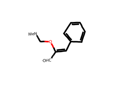 CNCOC([C]=O)=Cc1ccccc1